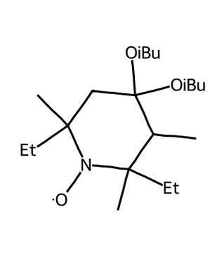 CCC1(C)CC(OCC(C)C)(OCC(C)C)C(C)C(C)(CC)N1[O]